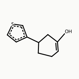 OC1=CCCC(c2ccsc2)C1